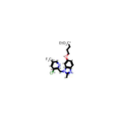 CCOC(=O)CCCOc1ccc2nc(C)n(Cc3ncc(C(F)(F)F)cc3Cl)c2c1